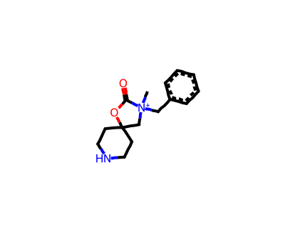 C[N+]1(Cc2ccccc2)CC2(CCNCC2)OC1=O